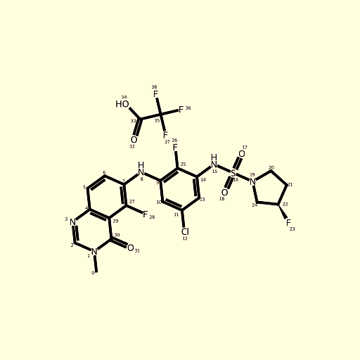 Cn1cnc2ccc(Nc3cc(Cl)cc(NS(=O)(=O)N4CC[C@@H](F)C4)c3F)c(F)c2c1=O.O=C(O)C(F)(F)F